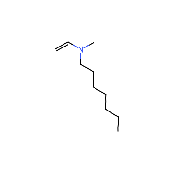 C=CN(C)CCCCCCC